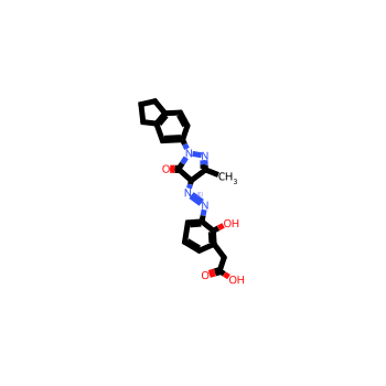 CC1=NN(c2ccc3c(c2)CCC3)C(=O)C1/N=N/c1cccc(CC(=O)O)c1O